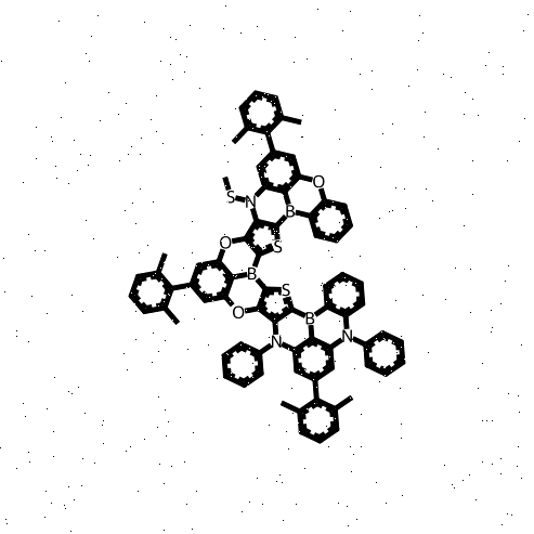 CSN1c2cc(-c3c(C)cccc3C)cc3c2B(c2ccccc2O3)c2sc3c(c21)Oc1cc(-c2c(C)cccc2C)cc2c1B3c1sc3c(c1O2)N(c1ccccc1)c1cc(-c2c(C)cccc2C)cc2c1B3c1ccccc1N2c1ccccc1